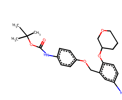 CC(C)(C)OC(=O)Nc1ccc(OCc2cc(N)ccc2OC2CCCOC2)cc1